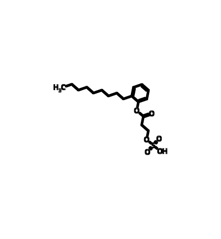 CCCCCCCCCc1ccccc1OC(=O)CCOS(=O)(=O)O